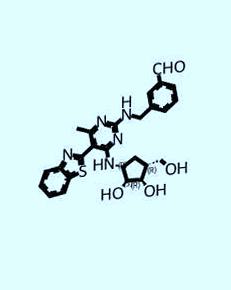 Cc1nc(NCc2cccc(C=O)c2)nc(N[C@@H]2C[C@H](CO)[C@@H](O)[C@H]2O)c1-c1nc2ccccc2s1